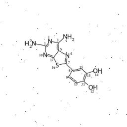 Nc1nc(N)c2nc(-c3ccc(O)c(O)c3)sc2n1